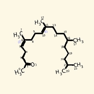 CC(=O)CC/C=C(/C)CC/C=C(\C)CCCC(C)CCCC(C)C